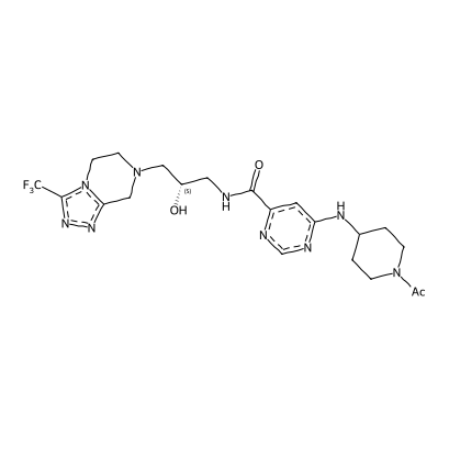 CC(=O)N1CCC(Nc2cc(C(=O)NC[C@H](O)CN3CCn4c(nnc4C(F)(F)F)C3)ncn2)CC1